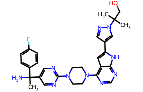 CC(N)(c1ccc(F)cc1)c1cnc(N2CCN(c3ncnc4[nH]c(-c5cnn(C(C)(C)CO)c5)cc34)CC2)nc1